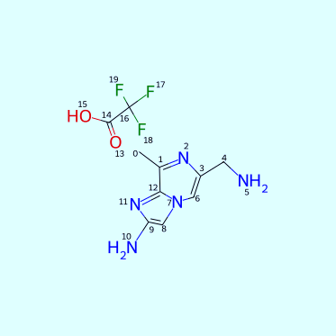 Cc1nc(CN)cn2cc(N)nc12.O=C(O)C(F)(F)F